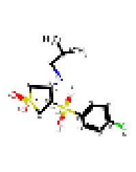 CC(C)CN[C@H]1CS(=O)(=O)C[C@@H]1S(=O)(=O)c1ccc(Cl)cc1